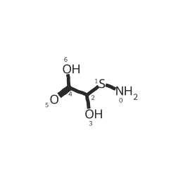 NSC(O)C(=O)O